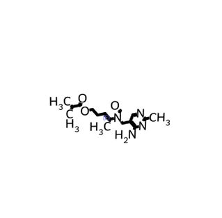 C/C(=C\CCOC(=O)C(C)C)N(C=O)Cc1cnc(C)nc1N